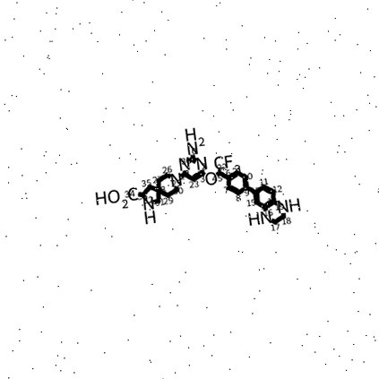 Nc1nc(O[C@H](c2ccc(-c3ccc4c(c3)NCCN4)cc2)C(F)(F)F)cc(N2CCC3(CC2)CNC(C(=O)O)C3)n1